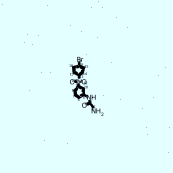 NCC(=O)Nc1cccc(S(=O)(=O)c2ccc(Br)cc2)c1